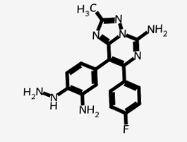 Cc1nc2c(-c3ccc(NN)c(N)c3)c(-c3ccc(F)cc3)nc(N)n2n1